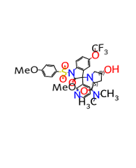 COc1ccc(S(=O)(=O)N2C(=O)C(c3cccnc3OC)(N3C[C@H](O)C[C@H]3C(=O)N(C)C)c3cc(OC(F)(F)F)ccc32)cc1